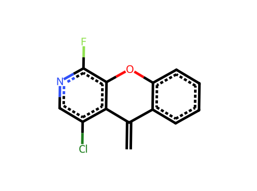 C=C1c2ccccc2Oc2c(F)ncc(Cl)c21